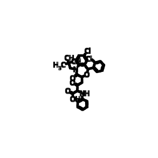 CC(C)(C)CN1C(=O)C(CC(=O)C(Nc2ccccc2)C(=O)O)OC(c2ccccc2Cl)c2cc(Cl)ccc21